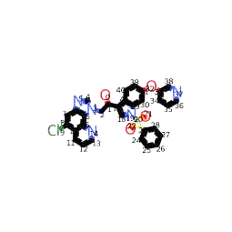 O=C(Cn1cnc2cc(Cl)c3cccnc3c21)c1cn(S(=O)(=O)c2ccccc2)c2cc(Oc3cccnc3)ccc12